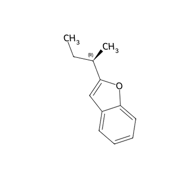 CC[C@@H](C)c1cc2ccccc2o1